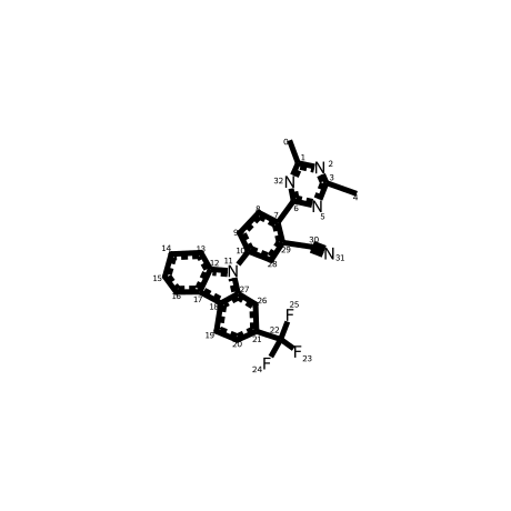 Cc1nc(C)nc(-c2ccc(-n3c4ccccc4c4ccc(C(F)(F)F)cc43)cc2C#N)n1